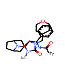 CCN1C(=O)N(CC2CCOCC2)CC12CC1CCC(C2)N1CC[C@H](NC(=O)C(C)C)c1ccccc1